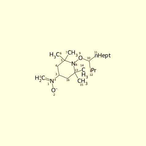 C=[N+]([O-])C1CC(C)(C)N(OC(CCCCCCC)C(C)C)C(C)(C)C1